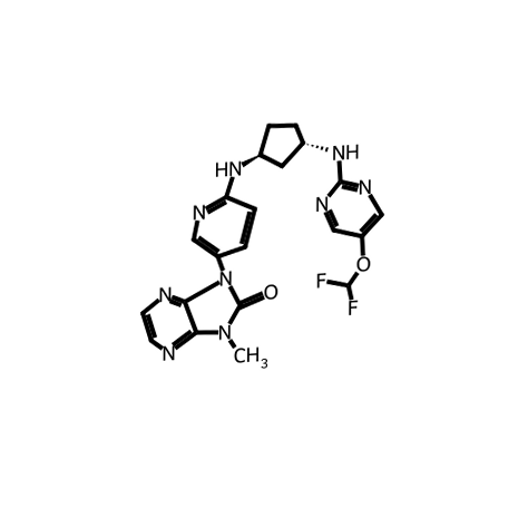 Cn1c(=O)n(-c2ccc(N[C@H]3CC[C@H](Nc4ncc(OC(F)F)cn4)C3)nc2)c2nccnc21